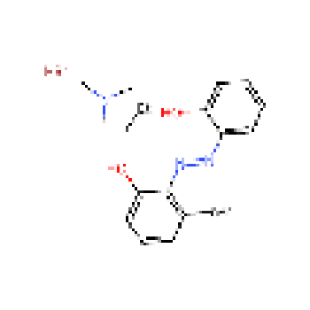 Br.CCC.CCCc1cccc(O)c1N=Nc1ccccc1O.CN(C)C